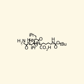 CC(C)C[C@H](NC(=O)[C@@H](NC(=O)[C@H](C)N)C(C)C)C(=O)N[C@@H](CCCCNC(=O)OC(C)(C)C)C(=O)O